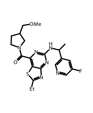 CCc1nc2nc(NC(C)c3cncc(F)c3)nc(C(=O)N3CCC(COC)C3)c2s1